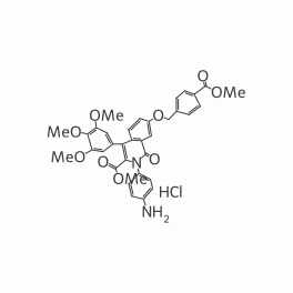 COC(=O)c1ccc(COc2ccc3c(-c4cc(OC)c(OC)c(OC)c4)c(C(=O)OC)n(-c4ccc(N)cc4)c(=O)c3c2)cc1.Cl